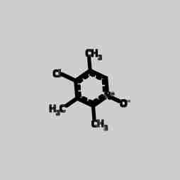 Cc1c[n+]([O-])c(C)c(C)c1Cl